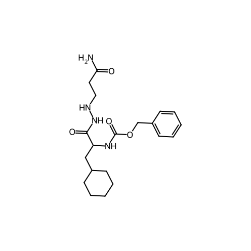 NC(=O)CCNNC(=O)C(CC1CCCCC1)NC(=O)OCc1ccccc1